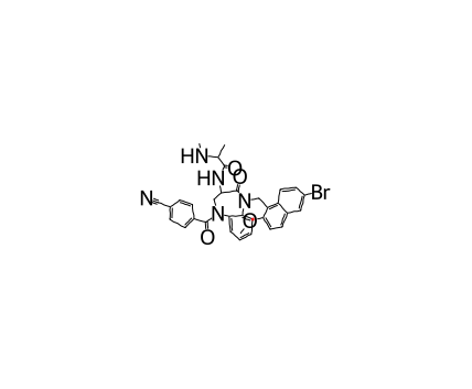 CNC(C)C(=O)NC1CN(C(=O)c2ccc(C#N)cc2)c2ccccc2N(Cc2c(OC)ccc3cc(Br)ccc23)C1=O